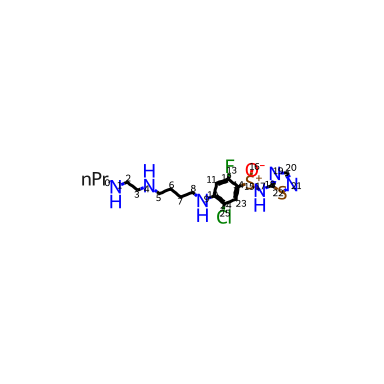 CCCNCCNCCCCNc1cc(F)c([S+]([O-])Nc2ncns2)cc1Cl